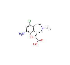 CN1CCc2c(Cl)cc(N)c3oc(C(=O)O)c(c23)C1